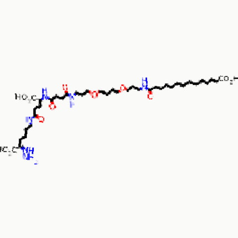 NN[C@@H](CCCCNC(=O)CC[C@H](NC(=O)CCC(=O)NCCCOCCCCOCCCNC(=O)CCCCCCCCCCCCC(=O)O)C(=O)O)C(=O)O